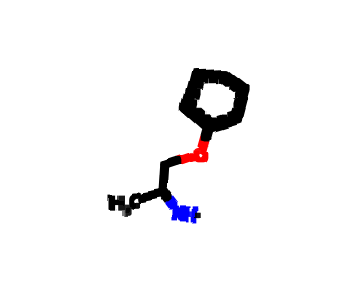 CC([NH])COc1ccccc1